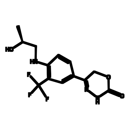 C[C@H](O)CNc1ccc(C2=NNC(=O)OC2)cc1C(F)(F)F